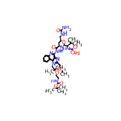 CCOCc1nc2c(NC(=O)C(CCCNC(N)=O)NC(=O)C(NC(=O)O)C(C)C)nc3ccccc3c2n1CC(C)(C)OCCNC(=O)OC(C)(C)C